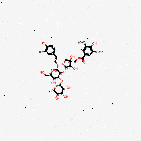 COc1cc(C(=O)OC[C@@]2(O)CO[C@@H](O[C@H]3[C@H](OCCc4ccc(O)c(O)c4)O[C@H](CO)[C@@H](O)[C@@H]3O[C@@H]3O[C@@H](C)[C@H](O)[C@@H](O)[C@H]3O)[C@@H]2O)cc(OC)c1O